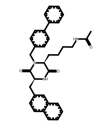 CC(=O)NCCCC[C@H]1C(=O)N[C@@H](Cc2ccc3ccccc3c2)C(=O)N1Cc1ccc(-c2ccccc2)cc1